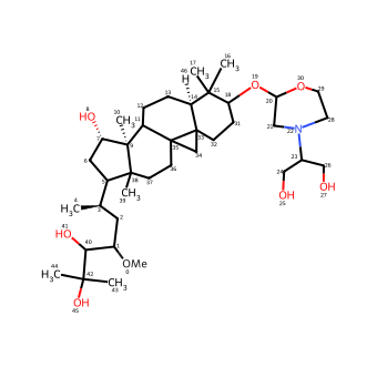 COC(C[C@@H](C)C1C[C@H](O)[C@@]2(C)C3CC[C@H]4C(C)(C)C(OC5CN(C(CO)CO)CCO5)CCC45CC35CCC12C)C(O)C(C)(C)O